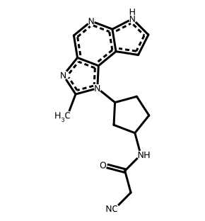 Cc1nc2cnc3[nH]ccc3c2n1C1CCC(NC(=O)CC#N)C1